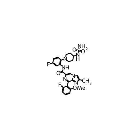 COc1cccc(F)c1-c1nc(C(=O)Nc2cc(F)ccc2N2CCC(NS(N)(=O)=O)CC2)cn2cc(C)nc12